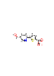 O=Cc1ccc(-c2ccc(C(=O)O)s2)nc1